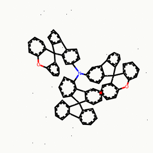 c1ccc2c(c1)Oc1ccccc1C21c2ccccc2-c2cc(N(c3ccc4c(c3)C3(c5ccccc5Oc5ccccc53)c3ccccc3-4)c3cccc4c3-c3ccccc3C43c4ccccc4-c4ccccc43)ccc21